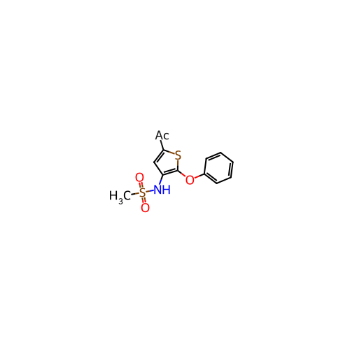 CC(=O)c1cc(NS(C)(=O)=O)c(Oc2ccccc2)s1